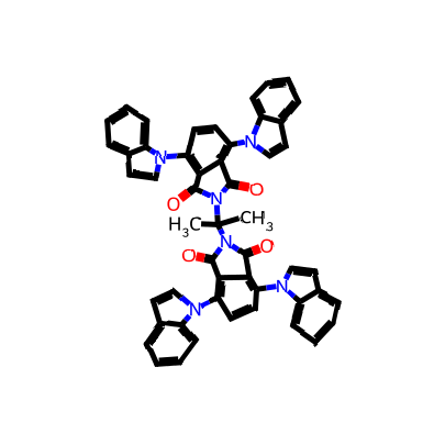 CC(C)(N1C(=O)c2c(-n3ccc4ccccc43)ccc(-n3ccc4ccccc43)c2C1=O)N1C(=O)c2c(-n3ccc4ccccc43)ccc(-n3ccc4ccccc43)c2C1=O